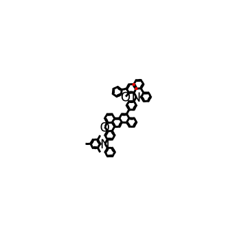 Cc1cc(C)c(N(c2ccccc2)c2ccc3c(c2)Oc2cccc4c2c-3cc2c3ccccc3c(-c3ccc(N(c5ccccc5-c5ccccc5)c5cccc6c5oc5ccccc56)cc3)cc42)c(C)c1